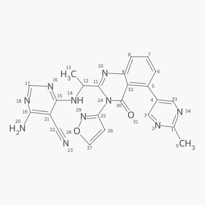 Cc1ncc(-c2cccc3nc(C(C)Nc4ncnc(N)c4C#N)n(-c4ccon4)c(=O)c23)cn1